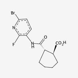 O=C(O)[C@H]1CCCC[C@@H]1C(=O)Nc1ccc(Br)nc1F